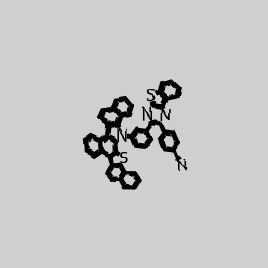 N#Cc1ccc(-c2nc3c(nc2-c2cccc(-n4c5c6ccccc6ccc5c5c6ccccc6c6c7ccc8ccccc8c7sc6c54)c2)sc2ccccc23)cc1